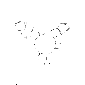 C[C@@H]1[C@H](NC(=O)c2ncccc2O)C(=O)N[C@@H](Cc2ccccc2)[C@@H](O)[C@@H](C)C(=O)OC(C2CC2)C(=O)N1C